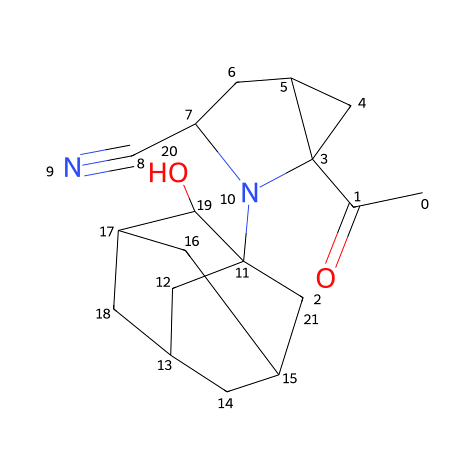 CC(=O)C12CC1CC(C#N)N2C12CC3CC(CC(C3)C1O)C2